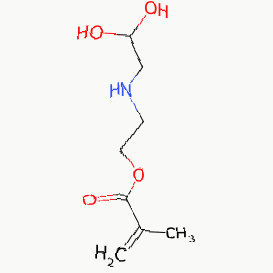 C=C(C)C(=O)OCCNCC(O)O